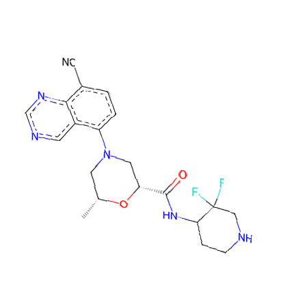 C[C@@H]1CN(c2ccc(C#N)c3ncncc23)C[C@H](C(=O)NC2CCNCC2(F)F)O1